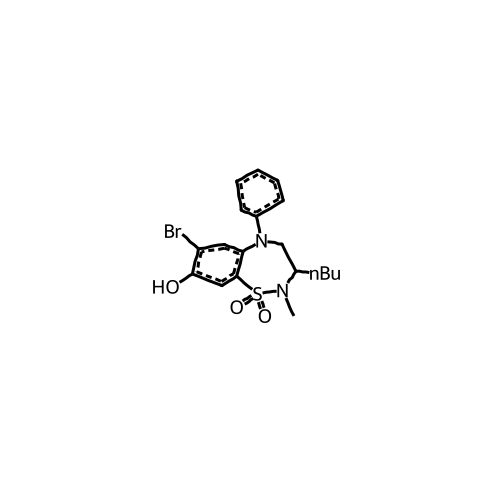 CCCCC1CN(c2ccccc2)c2cc(Br)c(O)cc2S(=O)(=O)N1C